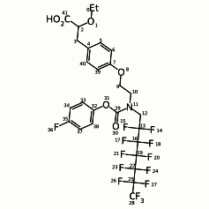 CCOC(Cc1ccc(OCCN(CC(F)(F)C(F)(F)C(F)(F)C(F)(F)C(F)(F)C(F)(F)F)C(=O)Oc2ccc(F)cc2)cc1)C(=O)O